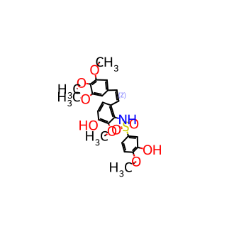 COc1ccc(S(=O)(=O)Nc2c(/C=C\c3cc(OC)c(OC)c(OC)c3)ccc(O)c2OC)cc1O